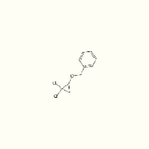 ClC1(Cl)CC1OCc1ccccc1